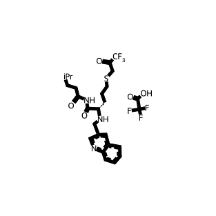 CC(C)CCC(=O)NC(=O)[C@H](CCCSCC(=O)C(F)(F)F)NCc1cnc2ccccc2c1.O=C(O)C(F)(F)F